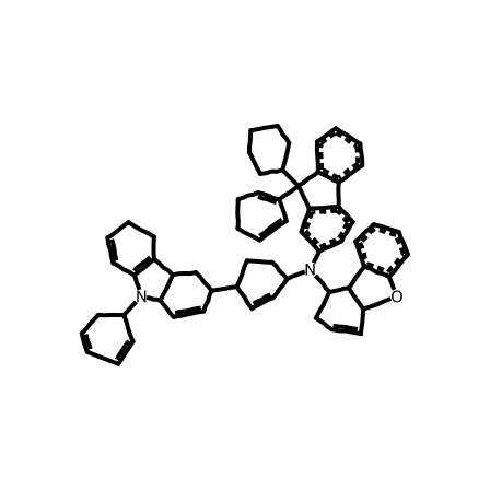 C1=CCC(N2C3=C(CCC=C3)C3CC(C4C=CC(N(c5ccc6c(c5)C(C5=CCCC=C5)(C5CCCCC5)c5ccccc5-6)C5CC=CC6Oc7ccccc7C65)CC4)C=CC32)C=C1